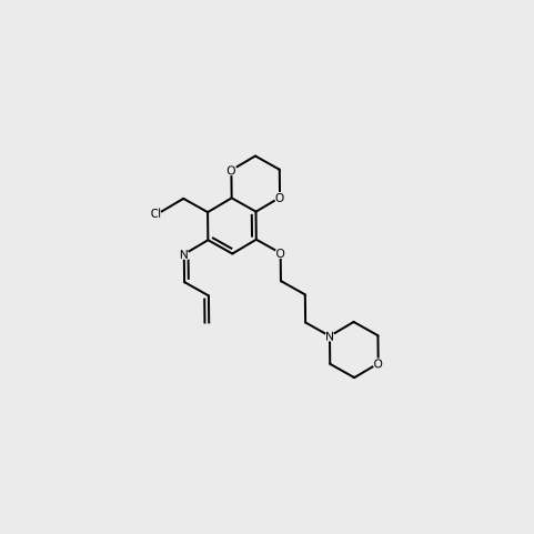 C=C/C=N\C1=CC(OCCCN2CCOCC2)=C2OCCOC2C1CCl